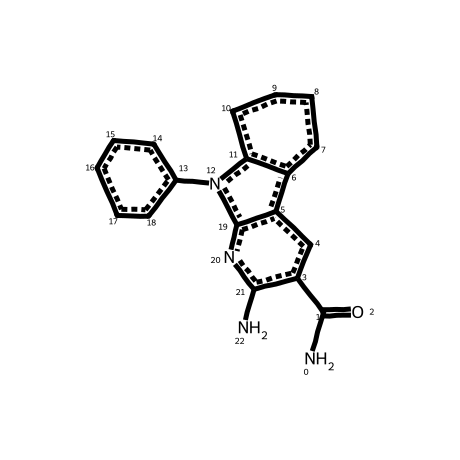 NC(=O)c1cc2c3ccccc3n(-c3ccccc3)c2nc1N